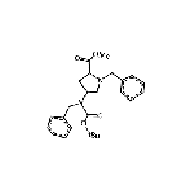 COC(=O)C1CC(N(Cc2ccccc2)C(=O)OC(C)(C)C)CN1Cc1ccccc1